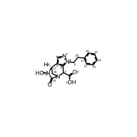 O=C(O)C1c2c(cnn2CCc2ccccc2)[C@H]2CN1C(=O)N2O